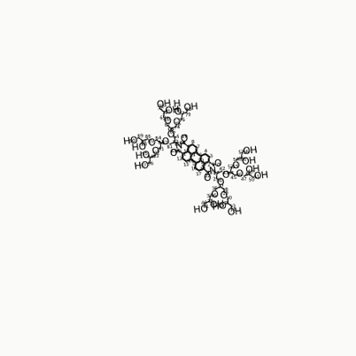 O=C1c2ccc3c4ccc5c6c(ccc(c7ccc(c2c37)C(=O)N1C(COC(COCC(O)CO)COCC(O)CO)COC(COCC(O)CO)COCC(O)CO)c64)C(=O)N(C(COC(COCC(O)CO)COCC(O)CO)COC(COCC(O)CO)COCC(O)CO)C5=O